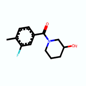 Cc1ccc(C(=O)N2CCCC(O)C2)cc1F